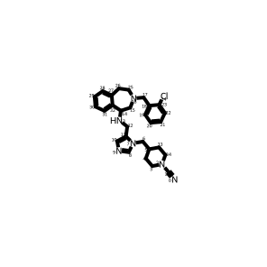 N#CN1CCC(Cn2cncc2CNC2CN(Cc3ccccc3Cl)CCc3ccccc32)CC1